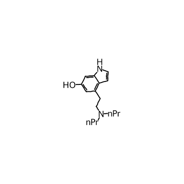 CCCN(CCC)CCc1cc(O)cc2[nH]ccc12